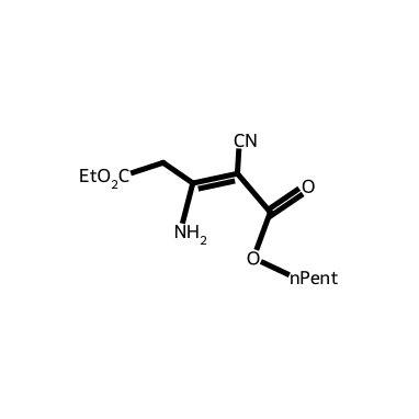 CCCCCOC(=O)C(C#N)=C(N)CC(=O)OCC